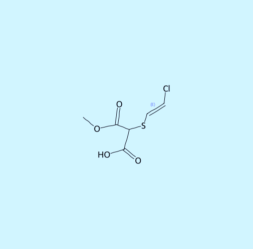 COC(=O)C(S/C=C/Cl)C(=O)O